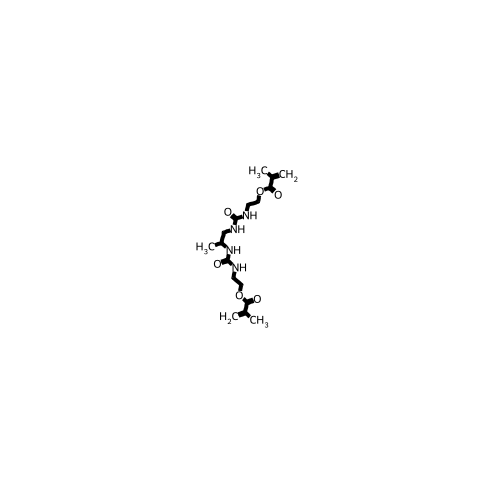 C=C(C)C(=O)OCCNC(=O)NCC(C)NC(=O)NCCOC(=O)C(=C)C